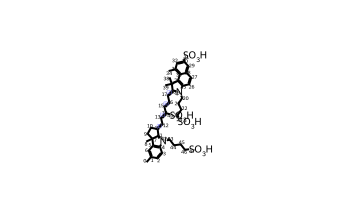 Cc1ccc2c(c1)C1(C)CC\C(=C/C=C(/C=C/C=C3\N(CCCCS(=O)(=O)O)c4ccc5cc(S(=O)(=O)O)cc(C)c5c4C3(C)C)S(=O)(=O)O)C1=[N+]2CCCCS(=O)(=O)O